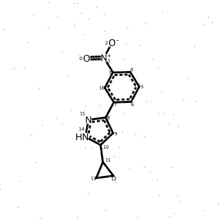 O=[N+]([O-])c1cccc(-c2cc(C3CC3)[nH]n2)c1